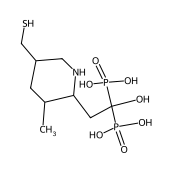 CC1CC(CS)CNC1CC(O)(P(=O)(O)O)P(=O)(O)O